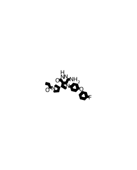 C=CC(=O)N1CC[C@@H](c2cn(-c3ccc(Oc4cccc(F)c4)cc3)c3c(N)n[nH]c(=O)c23)C1